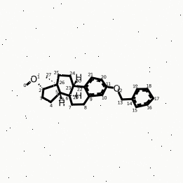 CO[C@H]1CC[C@H]2[C@@H]3CCc4cc(OCc5ccccc5)ccc4[C@H]3CC[C@]12C